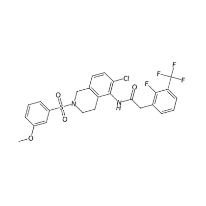 COc1cccc(S(=O)(=O)N2CCc3c(ccc(Cl)c3NC(=O)Cc3cccc(C(F)(F)F)c3F)C2)c1